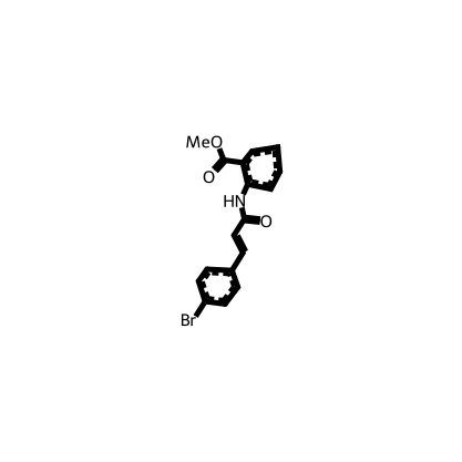 COC(=O)c1ccccc1NC(=O)C=Cc1ccc(Br)cc1